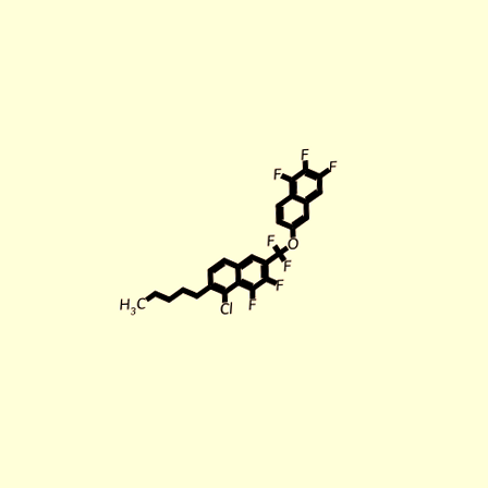 CCCCCc1ccc2cc(C(F)(F)Oc3ccc4c(F)c(F)c(F)cc4c3)c(F)c(F)c2c1Cl